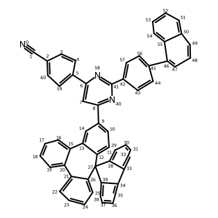 N#Cc1ccc(-c2cc(-c3ccc4c(c3)-c3ccccc3-c3ccccc3C43c4ccccc4-c4ccccc43)nc(-c3ccc(-c4cccc5ccccc45)cc3)n2)cc1